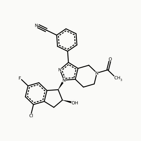 CC(=O)N1CCc2c(c(-c3cccc(C#N)c3)nn2[C@@H]2c3cc(F)cc(Cl)c3C[C@@H]2O)C1